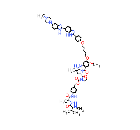 C=C1C[C@@H](C2OCCN2C(=O)OCc2ccc(NC(=O)[C@H](C)NC(=O)[C@@H](NC)C(C)C)cc2)N(C(=O)c2cc(OC)c(OCCCCCOc3ccc(-c4nc5ccc(-c6nc7cc(N8CCN(C)CC8)ccc7[nH]6)cc5[nH]4)cc3)cc2N)C1